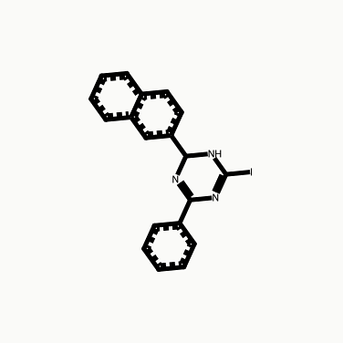 IC1=NC(c2ccccc2)=NC(c2ccc3ccccc3c2)N1